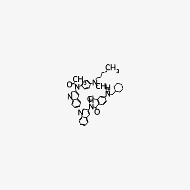 CCCCCN(C)c1ccc(N(C(C)=O)c2cnc3ccccc3c2)cc1.O=C(Nc1cnc2ccccc2c1)c1ccc(NCC2CCCCC2)cc1Cl